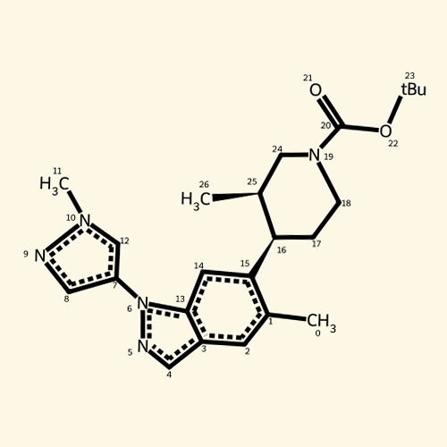 Cc1cc2cnn(-c3cnn(C)c3)c2cc1[C@@H]1CCN(C(=O)OC(C)(C)C)C[C@@H]1C